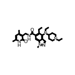 CCc1c(C(=O)NCc2c(C)cc(C)[nH]c2=O)cc2c(cnn2C)c1N(CC)C1CCN(CC)CC1